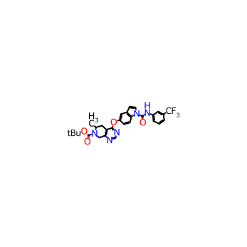 CC1Cc2c(ncnc2Oc2ccc3c(ccn3C(=O)Nc3cccc(C(F)(F)F)c3)c2)CN1C(=O)OC(C)(C)C